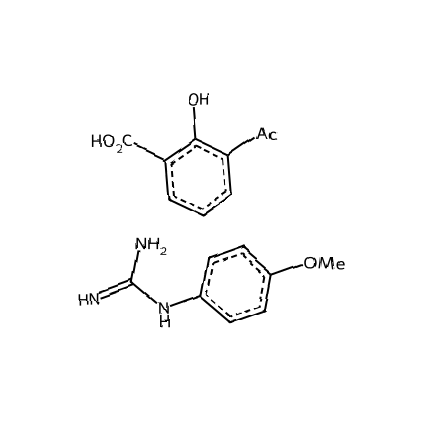 CC(=O)c1cccc(C(=O)O)c1O.COc1ccc(NC(=N)N)cc1